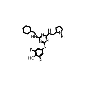 CCN1CCCC1CNc1nc(NCC2CCCCC2)nc(Nc2cc(F)c(O)c(F)c2)n1